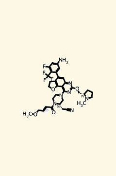 COC/C=C/C(=O)N1CCN(c2nc(OC[C@@H]3CCCN3C)nc3cc(-c4cc(N)cc(F)c4C(F)(F)F)c4c(c23)OCC4)C[C@@H]1CC#N